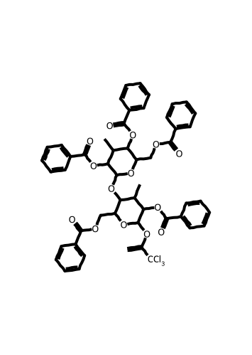 C=C(OC1OC(COC(=O)c2ccccc2)C(OC2OC(COC(=O)c3ccccc3)C(OC(=O)c3ccccc3)C(C)C2OC(=O)c2ccccc2)C(C)C1OC(=O)c1ccccc1)C(Cl)(Cl)Cl